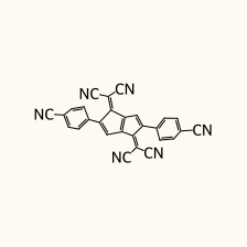 N#CC(C#N)=C1C(c2ccc(C#N)cc2)=CC2=C1C=C(c1ccc(C#N)cc1)C2=C(C#N)C#N